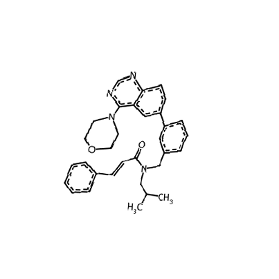 CC(C)CN(Cc1cccc(-c2ccc3ncnc(N4CCOCC4)c3c2)c1)C(=O)C=Cc1ccccc1